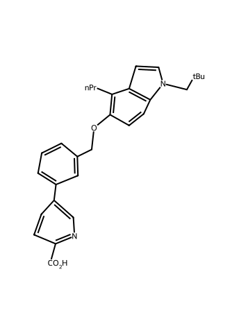 CCCc1c(OCc2cccc(-c3ccc(C(=O)O)nc3)c2)ccc2c1ccn2CC(C)(C)C